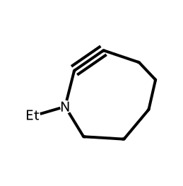 CCN1C#CCCCCC1